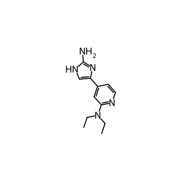 CCN(CC)c1cc(-c2c[nH]c(N)n2)ccn1